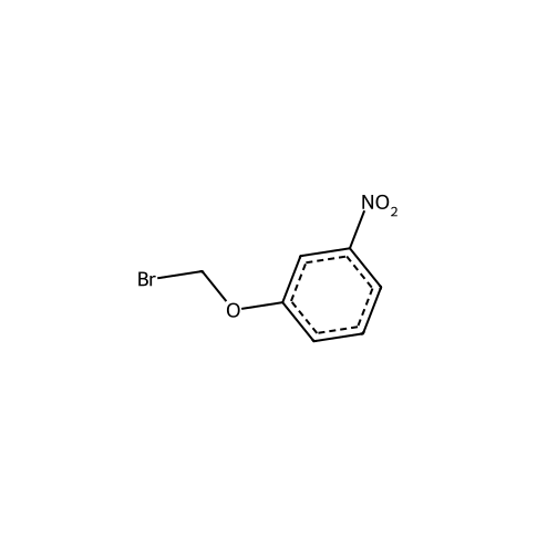 O=[N+]([O-])c1cccc(OCBr)c1